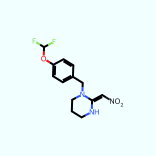 O=[N+]([O-])C=C1NCCCN1Cc1ccc(OC(F)F)cc1